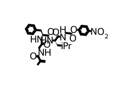 C=C(C)C(=O)NCC(=O)N[C@@H](Cc1ccccc1)C(=O)N[C@@H](CC(C)C)C(=O)NCC(=O)Oc1ccc([N+](=O)[O-])cc1